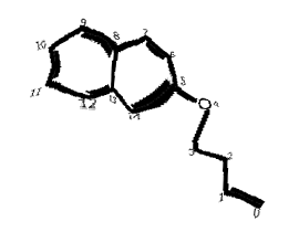 C=CCCOc1ccc2ccccc2c1